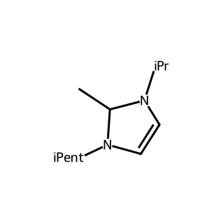 CCCC(C)N1C=CN(C(C)C)C1C